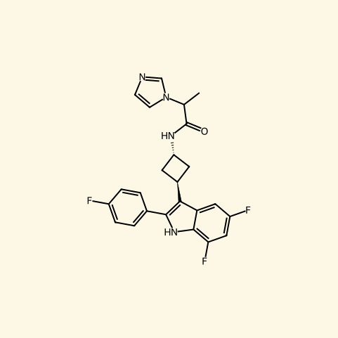 CC(C(=O)N[C@H]1C[C@H](c2c(-c3ccc(F)cc3)[nH]c3c(F)cc(F)cc32)C1)n1ccnc1